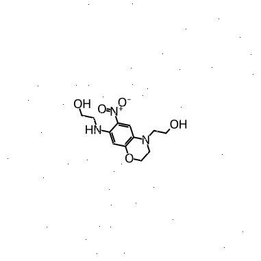 O=[N+]([O-])c1cc2c(cc1NCCO)OCCN2CCO